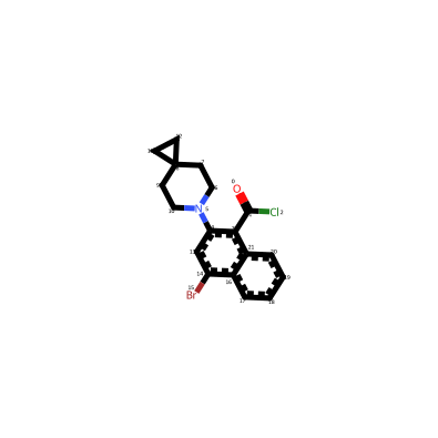 O=C(Cl)c1c(N2CCC3(CC2)CC3)cc(Br)c2ccccc12